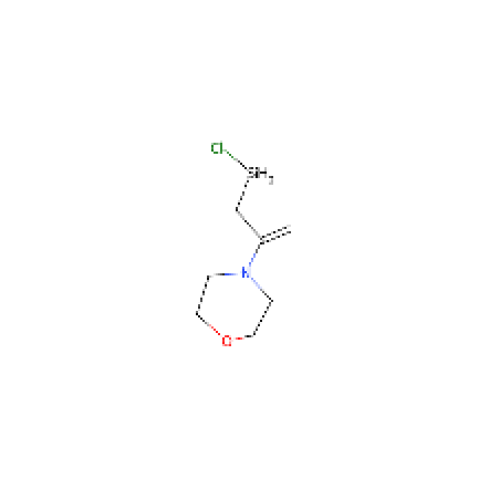 C=C(C[SiH2]Cl)N1CCOCC1